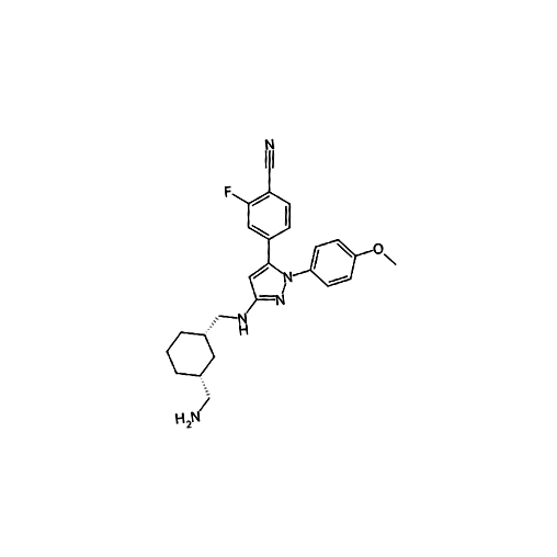 COc1ccc(-n2nc(NC[C@H]3CCC[C@@H](CN)C3)cc2-c2ccc(C#N)c(F)c2)cc1